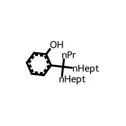 CCCCCCCC(CCC)(CCCCCCC)c1ccccc1O